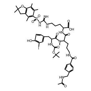 CC(=O)NCc1ccc(C(=O)NCCCC(C(=O)NC(CCCNC(=N)NS(=O)(=O)c2c(C)c(C)c3c(c2C)CC(C)(C)O3)C(=O)O)N(C)C(=O)C(Cc2ccc(O)c(I)c2)NC(=O)OC(C)(C)C)cc1